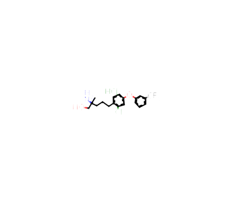 CC(N)(CO)CCCc1ccc(Oc2cccc(C(F)(F)F)c2)cc1Cl.Cl